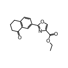 CCOC(=O)c1coc(-c2ccc3c(c2)C(=O)CCC3)n1